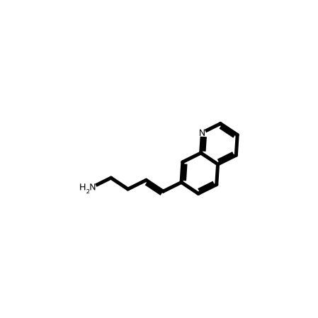 NCCC=Cc1ccc2cccnc2c1